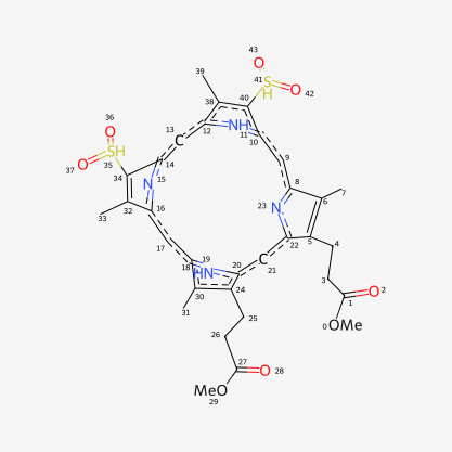 COC(=O)CCC1=C(C)c2cc3[nH]c(cc4nc(cc5[nH]c(cc1n2)c(CCC(=O)OC)c5C)C(C)=C4[SH](=O)=O)c(C)c3[SH](=O)=O